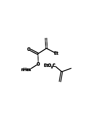 C=C(C)C(=O)OCC.C=C(CC)C(=O)OCCCCCC